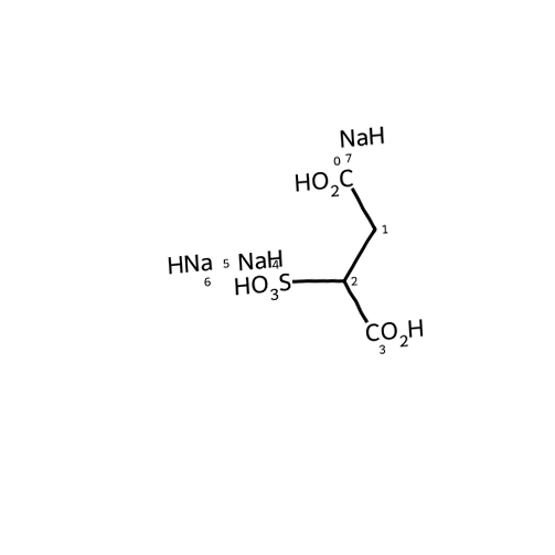 O=C(O)CC(C(=O)O)S(=O)(=O)O.[NaH].[NaH].[NaH]